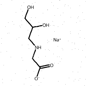 O=C([O-])CNCC(O)CO.[Na+]